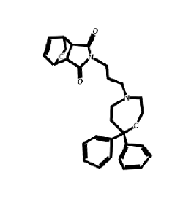 O=C1C2C3C=CC(CC3)C2C(=O)N1CCCN1CCOC(c2ccccc2)(c2ccccc2)CC1